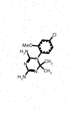 COc1cc(Cl)ccc1N1C(N)=NC(N)=NC1(C)C